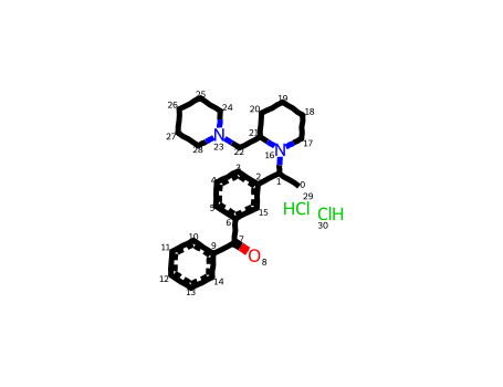 CC(c1cccc(C(=O)c2ccccc2)c1)N1CCCCC1CN1CCCCC1.Cl.Cl